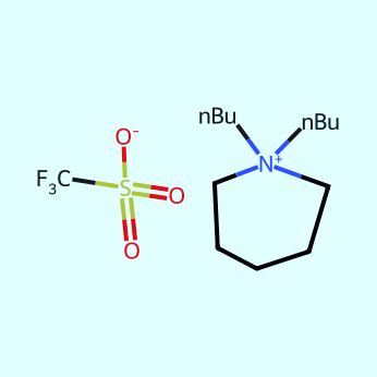 CCCC[N+]1(CCCC)CCCCC1.O=S(=O)([O-])C(F)(F)F